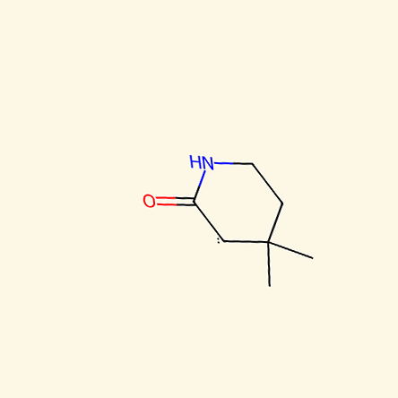 CC1(C)[C]C(=O)NCC1